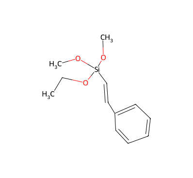 CCO[Si](C=Cc1ccccc1)(OC)OC